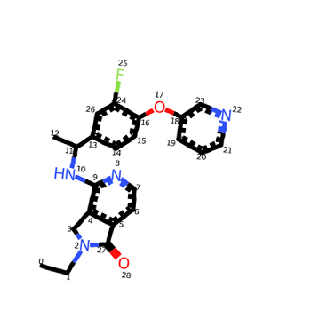 CCN1Cc2c(ccnc2NC(C)c2ccc(Oc3cccnc3)c(F)c2)C1=O